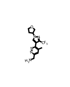 Cc1cc(CN)nnc1-c1cn(C2CCOC2)nc1C(F)(F)F